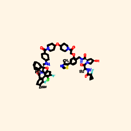 COc1ccc(C(N)=O)c(-c2c(Cl)c(F)cc3c2[C@H](C)[C@@](CNC2CCC(C(=O)N4CCC(OC5CCN(C(=O)COc6cc(-c7scnc7C)ccc6CNC(=O)[C@@H]6C[C@@H](O)CN6C(=O)[C@@H](NC(=O)C6(F)CC6)C(C)(C)C)CC5)CC4)CC2)(c2ccccc2)O3)c1F